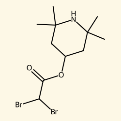 CC1(C)CC(OC(=O)C(Br)Br)CC(C)(C)N1